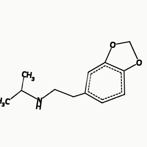 CC(C)NCCc1ccc2c(c1)OCO2